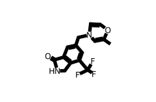 CC1=CN(Cc2cc3c(c(C(F)(F)F)c2)CNC3=O)C=CO1